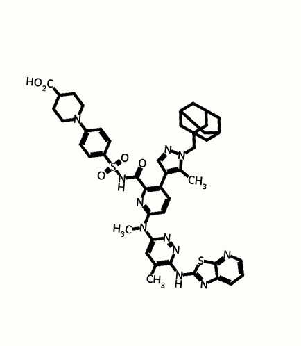 Cc1cc(N(C)c2ccc(-c3cnn(CC45CC6CC(CC(C6)C4)C5)c3C)c(C(=O)NS(=O)(=O)c3ccc(N4CCC(C(=O)O)CC4)cc3)n2)nnc1Nc1nc2cccnc2s1